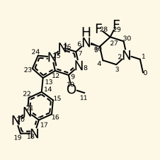 CCN1CC[C@@H](Nc2nc(OC)c3c(-c4ccc5ncnn5c4)ccn3n2)C(F)(F)C1